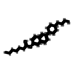 CCCCCCC(=O)Oc1ccc2cc(C3CCC(CCCC)CC3)ccc2c1